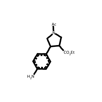 CCOC(=O)C1CN(C(C)=O)CC1c1ccc(N)cc1